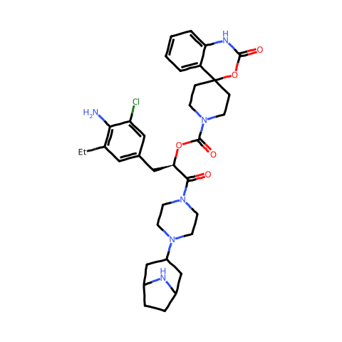 CCc1cc(C[C@@H](OC(=O)N2CCC3(CC2)OC(=O)Nc2ccccc23)C(=O)N2CCN(C3CC4CCC(C3)N4)CC2)cc(Cl)c1N